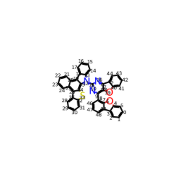 c1ccc2c(c1)oc1c(-c3nc(-n4c5ccccc5c5c6ccccc6c6c7ccccc7sc6c54)nc4c3oc3ccccc34)cccc12